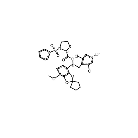 COc1ccc([C@H](Cc2c(Cl)c[n+]([O-])cc2Cl)OC(=O)[C@@H]2SCCN2S(=O)(=O)c2ccccc2)c2c1OC1(CCCC1)O2